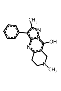 Cc1nn2c(O)c3c(nc2c1-c1ccccc1)CCN(C)C3